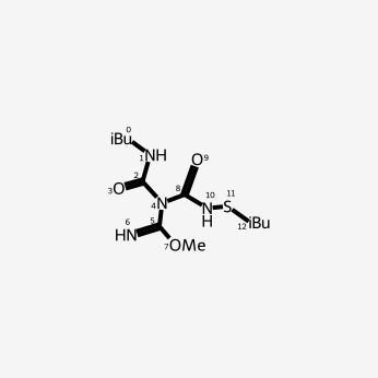 CCC(C)NC(=O)N(C(=N)OC)C(=O)NSC(C)CC